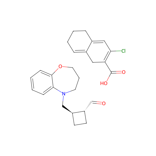 O=C(O)C1=C(Cl)C=C2CCCC=C2C1.O=C[C@@H]1CC[C@H]1CN1CCCOc2ccccc21